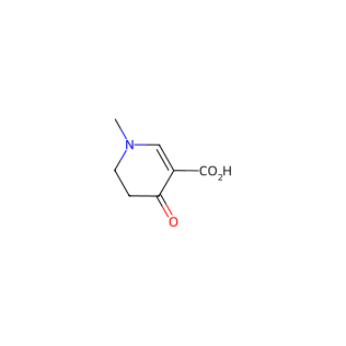 CN1C=C(C(=O)O)C(=O)CC1